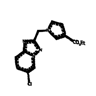 CCOC(=O)c1ccn(Cc2nc3ccc(Cl)cn3n2)c1